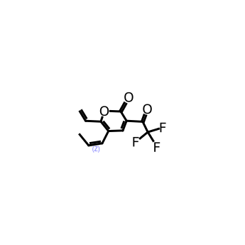 C=Cc1oc(=O)c(C(=O)C(F)(F)F)cc1/C=C\C